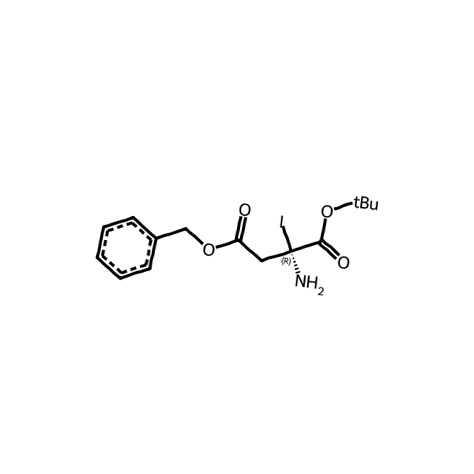 CC(C)(C)OC(=O)[C@](N)(I)CC(=O)OCc1ccccc1